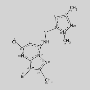 Cc1cc(CNc2cc(Cl)nc3c(Br)c(C)nn23)n(C)n1